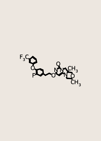 C[C@H]1CN2c3cc(OCCc4ccc(Oc5cccc(C(F)(F)F)c5)c(F)c4)nc(=O)n3C[C@]2(C)CO1